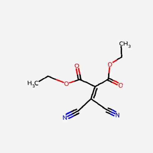 CCOC(=O)C(C(=O)OCC)=C(C#N)C#N